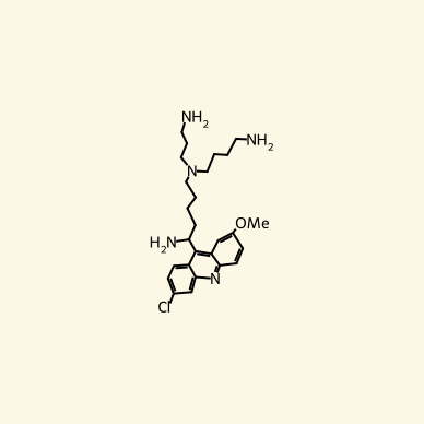 COc1ccc2nc3cc(Cl)ccc3c(C(N)CCCCN(CCCN)CCCCN)c2c1